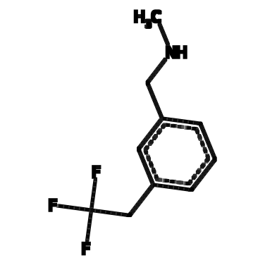 CNCc1cccc(CC(F)(F)F)c1